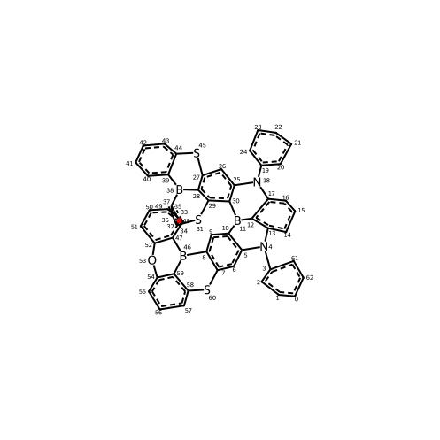 c1ccc(N2c3cc4c(cc3B3c5c2cccc5N(c2ccccc2)c2cc5c6c(c23)Sc2ccccc2B6c2ccccc2S5)B2c3ccccc3Oc3cccc(c32)S4)cc1